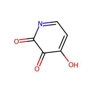 O=C1N=CC=C(O)C1=O